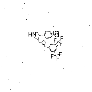 Cl.FC(F)(F)c1cc(COCC2CNCC2c2ccc(Cl)cc2)cc(C(F)(F)F)c1